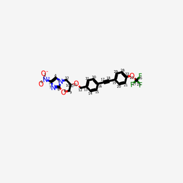 O=[N+]([O-])c1cn2c(n1)OC[C@@H](OCc1ccc(C#Cc3ccc(OC(F)(F)F)cc3)cc1)C2